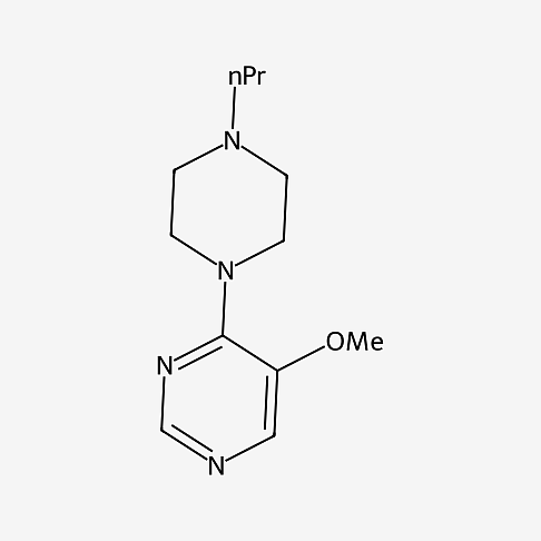 [CH2]CCN1CCN(c2ncncc2OC)CC1